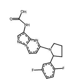 O=C(O)Nc1cnn2ccc(N3CCCC3c3cc(F)ccc3F)nc12